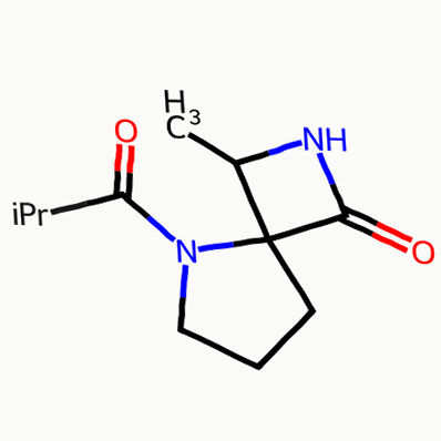 CC(C)C(=O)N1CCCC12C(=O)NC2C